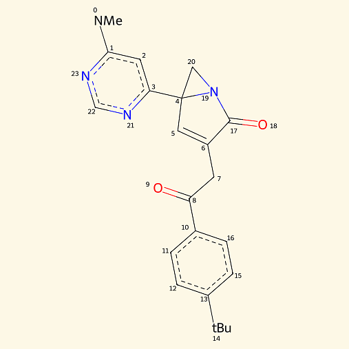 CNc1cc(C23C=C(CC(=O)c4ccc(C(C)(C)C)cc4)C(=O)N2C3)ncn1